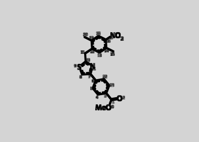 COC(=O)c1ccc(-c2csc(Cc3cc(C)c([N+](=O)[O-])cc3C)n2)cc1